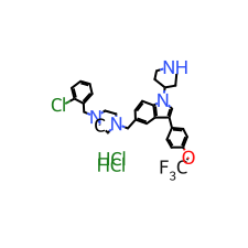 Cl.Cl.FC(F)(F)Oc1ccc(-c2cn(C3CCNCC3)c3ccc(CN4CCN(Cc5ccccc5Cl)CC4)cc23)cc1